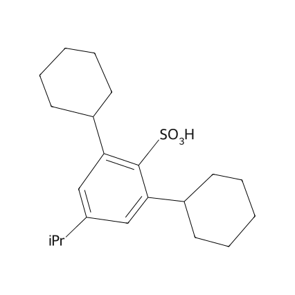 CC(C)c1cc(C2CCCCC2)c(S(=O)(=O)O)c(C2CCCCC2)c1